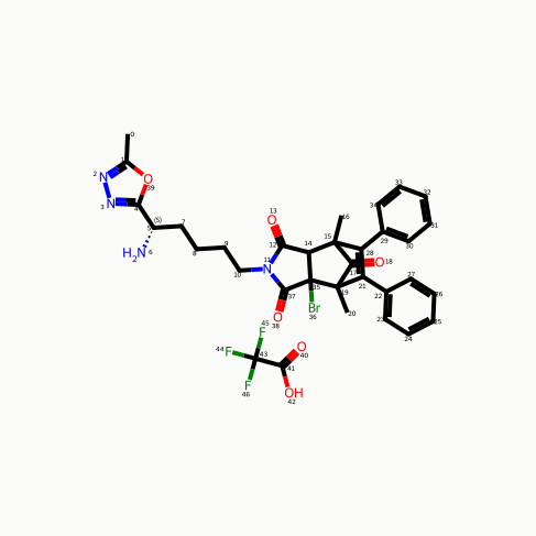 Cc1nnc([C@@H](N)CCCCN2C(=O)C3C4(C)C(=O)C(C)(C(c5ccccc5)=C4c4ccccc4)C3(Br)C2=O)o1.O=C(O)C(F)(F)F